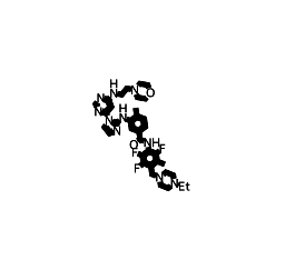 CCN1CCN(Cc2c(C)c(F)c(NC(=O)c3ccc(C)c(Nc4nccn4-c4cc(NCCN5CCOCC5)ncn4)c3)c(F)c2F)CC1